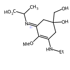 CCNC1=C(OC)/C(=N/C(C)C(=O)O)CC(O)(CO)C1